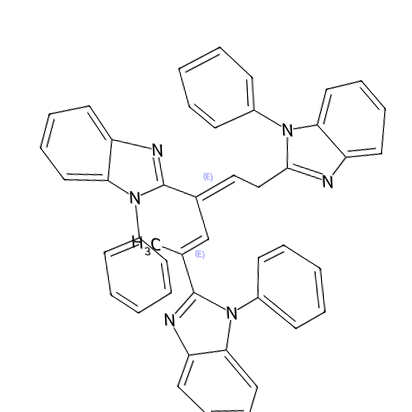 C/C(=C\C(=C/Cc1nc2ccccc2n1-c1ccccc1)c1nc2ccccc2n1-c1ccccc1)c1nc2ccccc2n1-c1ccccc1